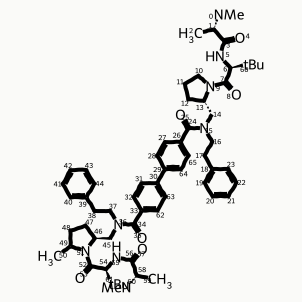 CN[C@@H](C)C(=O)N[C@H](C(=O)N1CCC[C@H]1CN(CCc1ccccc1)C(=O)c1ccc(-c2ccc(C(=O)N(CCc3ccccc3)C[C@@H]3CCC(C)N3C(=O)[C@@H](NC(=O)[C@H](C)NC)C(C)(C)C)cc2)cc1)C(C)(C)C